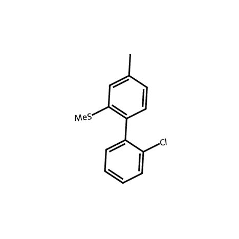 CSc1cc(C)ccc1-c1ccccc1Cl